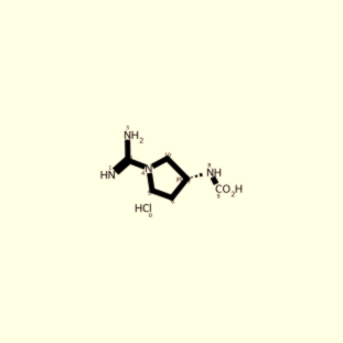 Cl.N=C(N)N1CC[C@@H](NC(=O)O)C1